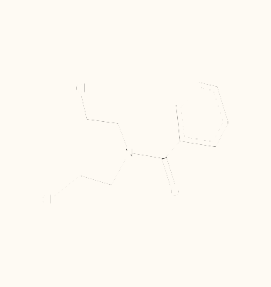 O=C(c1ccccc1)N(CCCl)CCCl